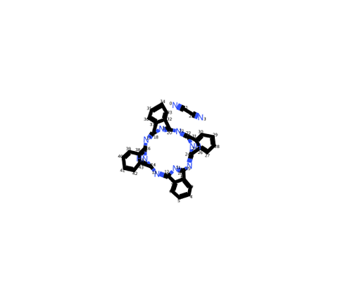 N#CC#N.c1ccc2c(c1)-c1nc-2nc2[nH]c(nc3nc(nc4[nH]c(n1)c1ccccc41)-c1ccccc1-3)c1ccccc21